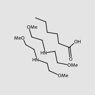 CCCCCC(=O)O.COCCNCCOC.COCCNCCOC